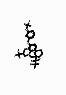 OC(CN(CC1(C(F)(F)C(F)(F)F)CCCCC1)c1cccc(Oc2cccc(OC(F)(F)F)c2)c1)C(F)(F)F